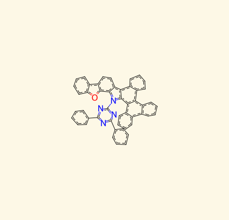 c1ccc(-c2nc(-c3ccccc3)nc(-n3c4c(ccc5c6ccccc6oc54)c4c5ccccc5c5c6ccccc6c6ccccc6c5c43)n2)cc1